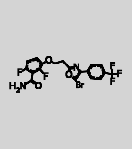 NC(=O)c1c(F)ccc(OCCc2nc(-c3ccc(C(F)(F)F)cc3)c(Br)o2)c1F